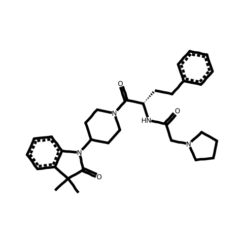 CC1(C)C(=O)N(C2CCN(C(=O)[C@H](CCc3ccccc3)NC(=O)CN3CCCC3)CC2)c2ccccc21